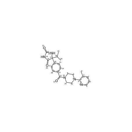 Cc1cccnc1N1CCN(C(=O)c2ccc(C3(C(C)C)NC(=O)NC3=O)cc2)CC1